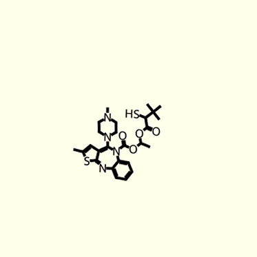 Cc1cc2c(s1)=Nc1ccccc1N(C(=O)OC(C)OC(=O)C(S)C(C)(C)C)C=2N1CCN(C)CC1